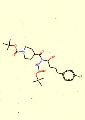 CC(C)(C)OC(=O)NN(C(=O)C1CCN(C(=O)OC(C)(C)C)CC1)C(O)CCCc1ccc(Cl)cc1